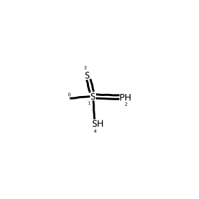 CS(=P)(=S)S